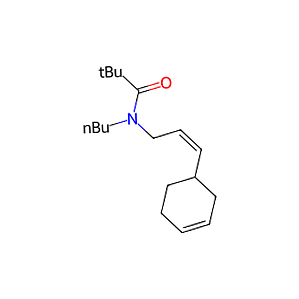 CCCCN(C/C=C\C1CC=CCC1)C(=O)C(C)(C)C